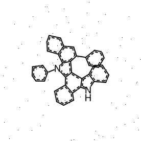 c1ccc(-c2cc3ccccc3c3c2c2c4c5ccccc5[nH]c4c4ccccc4c2n3-c2ccccc2)cc1